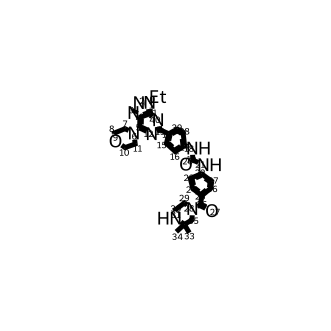 CCn1nnc2c(N3CCOCC3)nc(-c3ccc(NC(=O)Nc4ccc(C(=O)N5CCNC(C)(C)C5)cc4)cc3)nc21